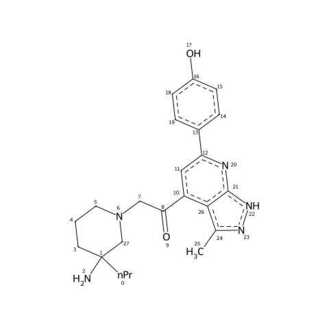 CCCC1(N)CCCN(CC(=O)c2cc(-c3ccc(O)cc3)nc3[nH]nc(C)c23)C1